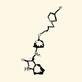 O=C1Nc2ccccc2/C1=C\Nc1ccc(OCCCN2CCC(F)C2)cc1